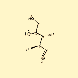 N=C[C@@H](F)[C@@H](I)[C@H](O)CO